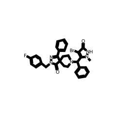 Cn1[nH]c(=O)c(Br)c1C(c1ccccc1)N1CCC2(CC1)C(=O)N(Cc1ccc(F)cc1)N=C2c1ccccc1